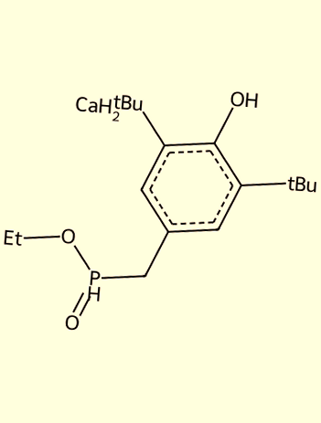 CCO[PH](=O)Cc1cc(C(C)(C)C)c(O)c(C(C)(C)C)c1.[CaH2]